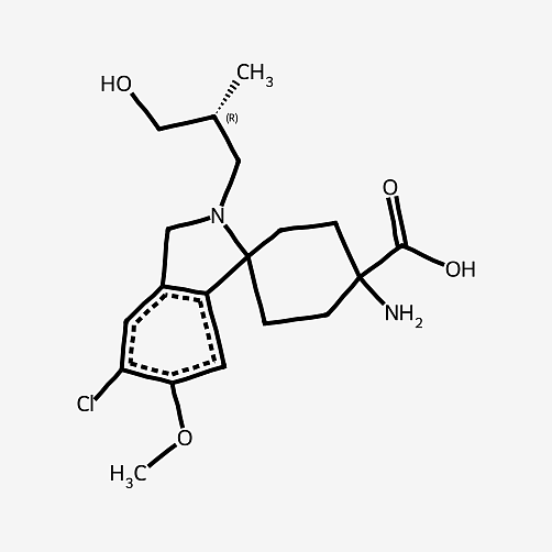 COc1cc2c(cc1Cl)CN(C[C@@H](C)CO)C21CCC(N)(C(=O)O)CC1